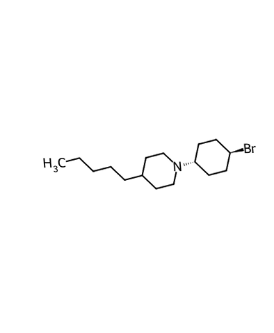 CCCCCC1CCN([C@H]2CC[C@H](Br)CC2)CC1